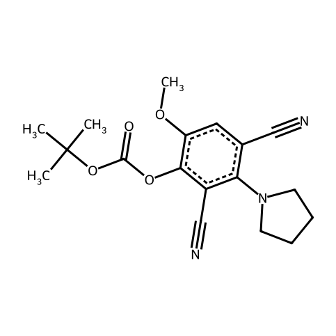 COc1cc(C#N)c(N2CCCC2)c(C#N)c1OC(=O)OC(C)(C)C